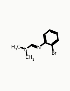 CN(C)C=Nc1ccccc1Br